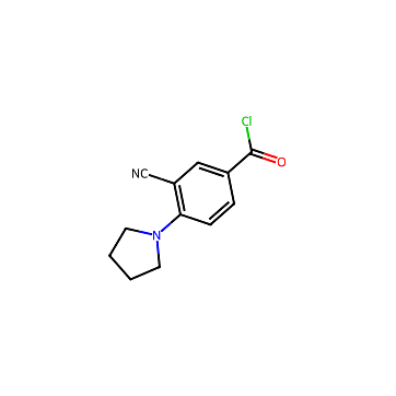 N#Cc1cc(C(=O)Cl)ccc1N1CCCC1